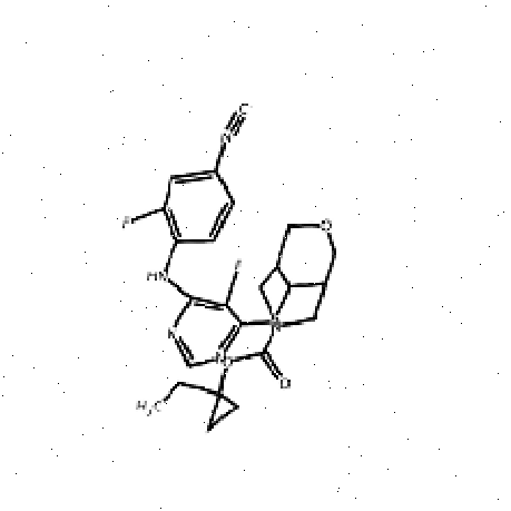 [C-]#[N+]c1ccc(Nc2ncnc(OC3C4COCC3CN(C(=O)OC3(CC)CC3)C4)c2F)c(F)c1